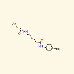 Bc1ccc(NC(=O)CCCCCNC(=O)CSC(C)=O)cc1